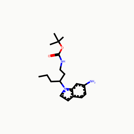 CCCC(CCNC(=O)OC(C)(C)C)n1ccc2ccc(N)cc21